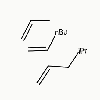 C=CC.C=CCC(C)C.C=CCCCC